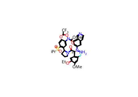 CCOc1cc([C@H](C(=O)N2CCCC2c2cc(N(OC(=O)C(F)(F)F)C(=O)OC)ccc2S(=O)(=O)C(C)C)N(N)c2ccc3cnccc3c2)c(F)cc1OC